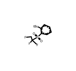 CC(C)(C)c1ccccc1S(=O)(=O)C(F)(F)CF